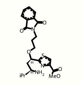 COC(=O)c1csc([C@@H](C[C@@H](N)C(C)C)OCCCN2C(=O)c3ccccc3C2=O)n1